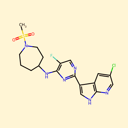 CS(=O)(=O)N1CCCC(Nc2nc(-c3c[nH]c4ncc(Cl)cc34)ncc2F)CC1